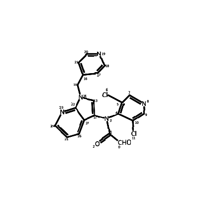 O=CC(=O)N(c1c(Cl)cncc1Cl)c1cn(Cc2ccncc2)c2ncccc12